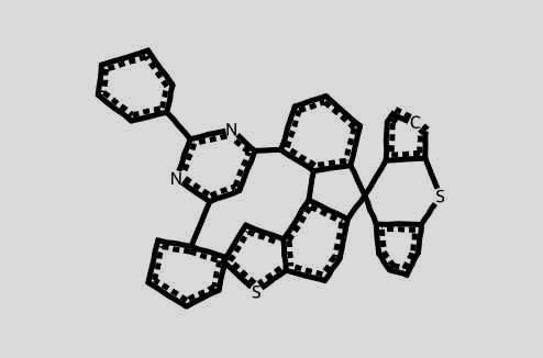 c1ccc(-c2cc(-c3cccc4c3-c3c(ccc5sccc35)C43c4ccccc4Sc4ccccc43)nc(-c3ccccc3)n2)cc1